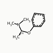 C[C@H](Oc1cc[c]cc1)N(C)C